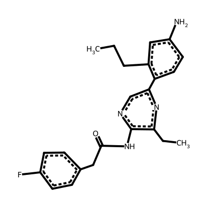 CCCc1cc(N)ccc1-c1cnc(NC(=O)Cc2ccc(F)cc2)c(CC)n1